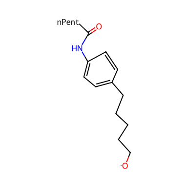 CCCCCC(=O)Nc1ccc(CCCCC[O])cc1